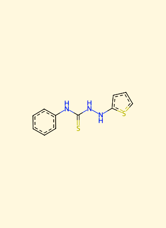 S=C(NNc1cccs1)Nc1ccccc1